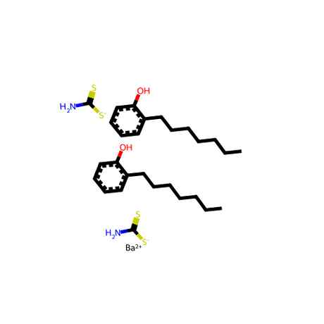 CCCCCCCc1ccccc1O.CCCCCCCc1ccccc1O.NC(=S)[S-].NC(=S)[S-].[Ba+2]